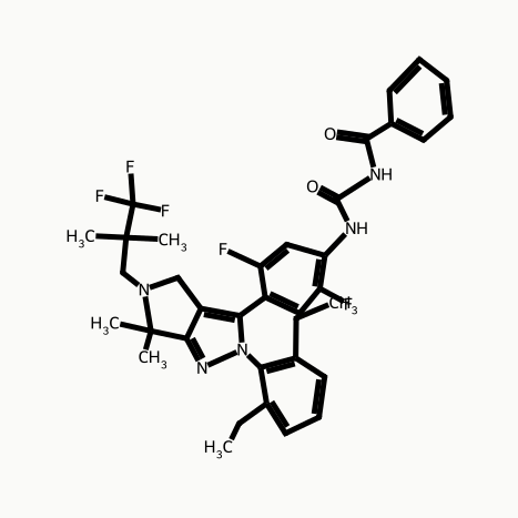 CCc1cccc(CC)c1-n1nc2c(c1-c1cc(F)c(NC(=O)NC(=O)c3ccccc3)cc1F)CN(CC(C)(C)C(F)(F)F)C2(C)C